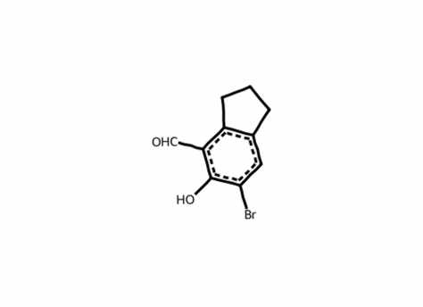 O=Cc1c(O)c(Br)cc2c1CCC2